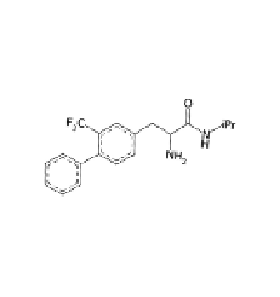 CC(C)NC(=O)C(N)Cc1ccc(-c2ccccc2)c(C(F)(F)F)c1